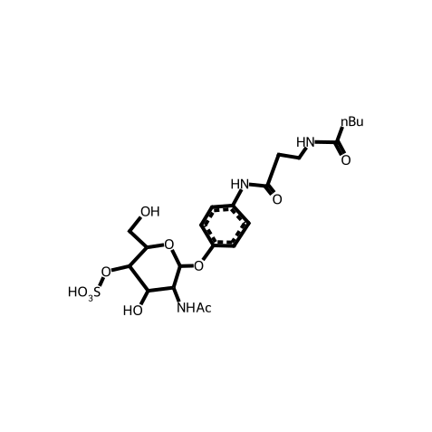 CCCCC(=O)NCCC(=O)Nc1ccc(OC2OC(CO)C(OS(=O)(=O)O)C(O)C2NC(C)=O)cc1